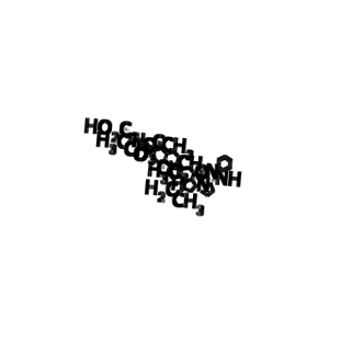 C=C(C)[C@@H]1CC[C@]2(C(=O)N3CCC[C@H]3c3nc4ccccc4[nH]3)CC[C@]3(C)[C@H](CCC4[C@@]5(C)CC[C@H](OC(=O)[C@H]6C[C@@H](C(=O)O)C6(C)C)C(C)(C)C5CC[C@]43C)C12